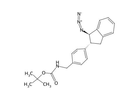 CC(C)(C)OC(=O)NCc1ccc([C@H]2Cc3ccccc3[C@@H]2N=[N+]=[N-])cc1